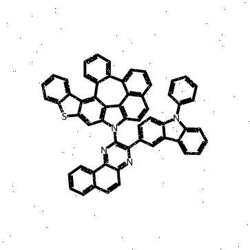 c1ccc(-n2c3ccccc3c3cc(-c4nc5ccc6ccccc6c5nc4-n4c5cc6sc7ccccc7c6c6c5c5c7c(cccc7ccc54)-c4ccccc4-6)ccc32)cc1